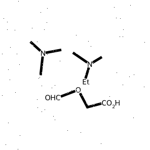 CCN(C)C.CN(C)C.O=COCC(=O)O